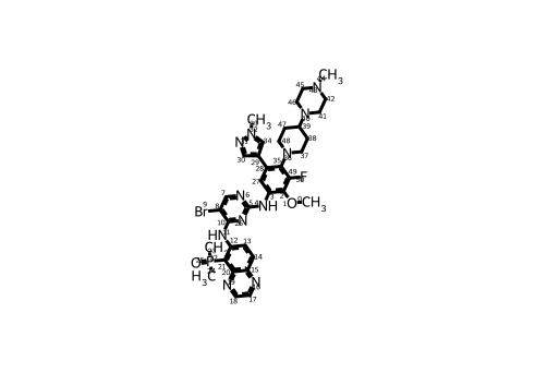 COc1c(Nc2ncc(Br)c(Nc3ccc4nccnc4c3P(C)(C)=O)n2)cc(-c2cnn(C)c2)c(N2CCC(N3CCN(C)CC3)CC2)c1F